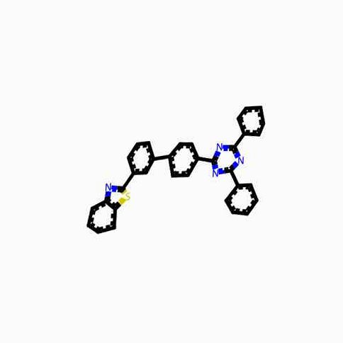 c1ccc(-c2nc(-c3ccccc3)nc(-c3ccc(-c4cccc(-c5nc6ccccc6s5)c4)cc3)n2)cc1